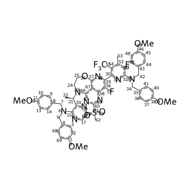 COc1ccc(CN(Cc2ccc(OC)cc2)c2nccnc2[C@@H](C)N2CCOc3nc(-c4nc(N(Cc5ccc(OC)cc5)Cc5ccc(OC)cc5)c(F)c(C)c4C(F)(F)F)c(F)c4nc(S(C)(=O)=O)nc2c34)cc1